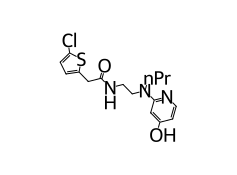 CCCN(CCNC(=O)Cc1ccc(Cl)s1)c1cc(O)ccn1